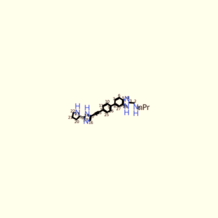 CCCNCc1nc2ccc(-c3ccc(C#Cc4cnc([C@@H]5CCCN5)[nH]4)cc3)cc2[nH]1